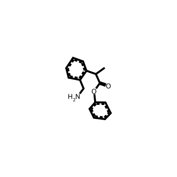 CC(C(=O)Oc1ccccc1)c1ccccc1CN